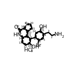 Cl.NCCc1cc(Br)c(-c2c(O)ccc3[nH]c(=O)c4sccc4c23)cc1O